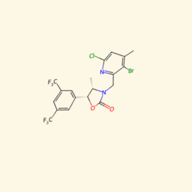 Cc1cc(Cl)nc(CN2C(=O)O[C@H](c3cc(C(F)(F)F)cc(C(F)(F)F)c3)[C@@H]2C)c1Br